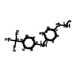 CNSc1ccc(Nc2ccc(C(F)(F)F)cc2)nc1